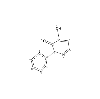 O=C1C(O)=CC=NC1c1ccccc1